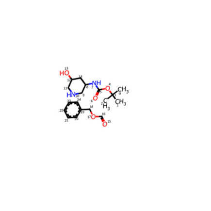 CC(C)(C)OC(=O)NC1CNCC(O)C1.O=COCc1ccccc1